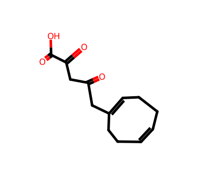 O=C(CC(=O)C(=O)O)CC1=CCCC=CCC1